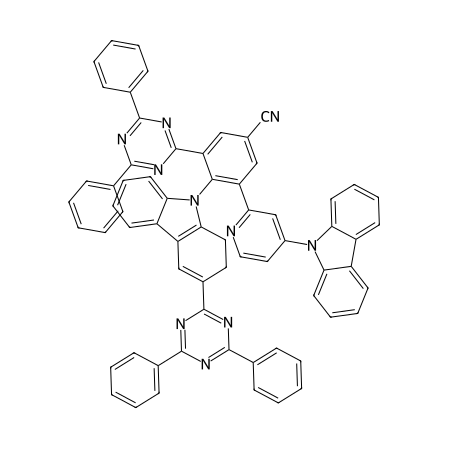 N#Cc1cc(-c2cc(-n3c4ccccc4c4ccccc43)ccn2)c(-n2c3c(c4ccccc42)C=C(c2nc(-c4ccccc4)nc(-c4ccccc4)n2)CC3)c(-c2nc(-c3ccccc3)nc(-c3ccccc3)n2)c1